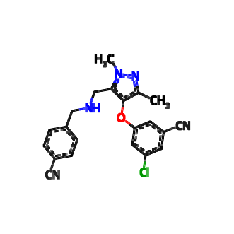 Cc1nn(C)c(CNCc2ccc(C#N)cc2)c1Oc1cc(Cl)cc(C#N)c1